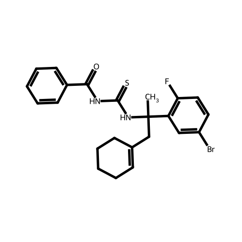 CC(CC1=CCCCC1)(NC(=S)NC(=O)c1ccccc1)c1cc(Br)ccc1F